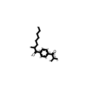 CCCCCCC(C)C(=O)c1ccc(C(=O)C(C)C)cc1